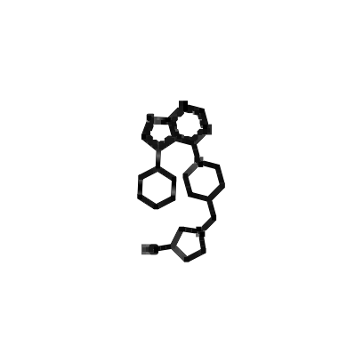 OC1CCN(CC2CCN(c3ncnc4scc(C5CCCCC5)c34)CC2)C1